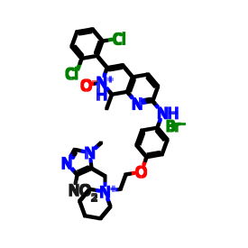 CC1c2nc(Nc3ccc(OCC[N+]4(Cc5c([N+](=O)[O-])ncn5C)CCCCC4)cc3)ccc2C=C(c2c(Cl)cccc2Cl)[NH+]1[O-].[Br-]